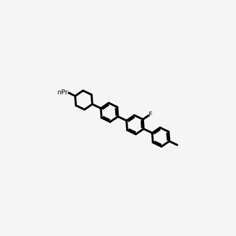 CCCC1CCC(c2ccc(-c3ccc(-c4ccc(C)cc4)c(F)c3)cc2)CC1